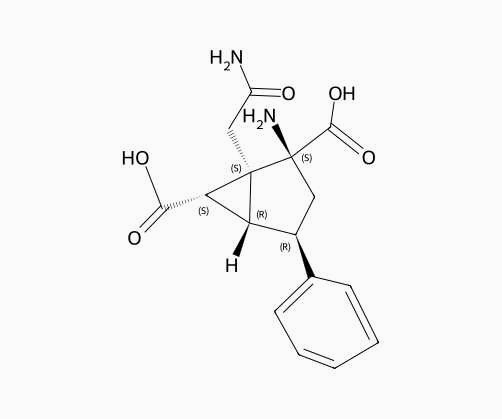 NC(=O)C[C@@]12[C@H]([C@H](c3ccccc3)C[C@@]1(N)C(=O)O)[C@@H]2C(=O)O